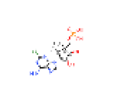 C[C@@H]1[C@@H](n2cnc3c(N)nc(Cl)nc32)[C@H](O)[C@H](O)[C@@]1(C)COP(=O)(O)O